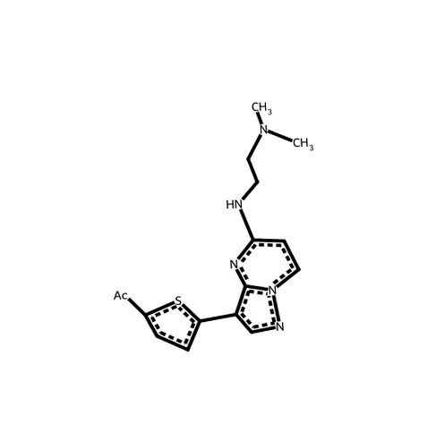 CC(=O)c1ccc(-c2cnn3ccc(NCCN(C)C)nc23)s1